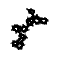 c1ccc(-n2c3ccc(-c4ccc5c(c4)c4ccccc4n5-c4ccc5c(c4)-c4ccnc6nccc-5c46)cc3c3cc4ccccc4cc32)cc1